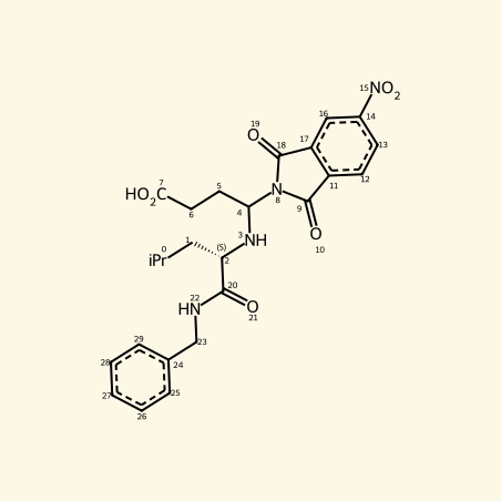 CC(C)C[C@H](NC(CCC(=O)O)N1C(=O)c2ccc([N+](=O)[O-])cc2C1=O)C(=O)NCc1ccccc1